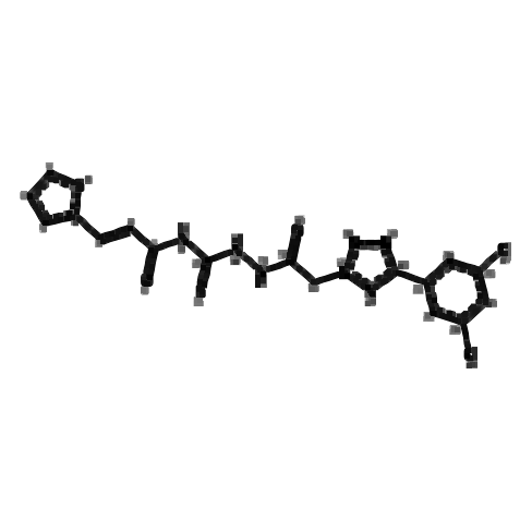 O=C(/C=C/c1cccs1)NC(=S)NNC(=O)Cn1nnc(-c2cc(Cl)cc(Cl)c2)n1